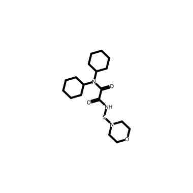 O=C(NSN1CCOCC1)C(=O)N(C1CCCCC1)C1CCCCC1